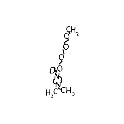 C=COCCOCCOCCOC(=O)N1CCN(C(C)C)CC1